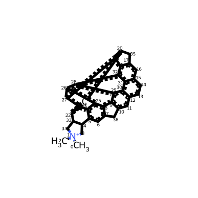 C[N+]1(C)CC2c3cc4c5c6c(cc7ccc8cc9c%10c%11c(cc(c%12c3c5c(c%12%11)c3c6c7c8c%103)C2C1)C9)C4